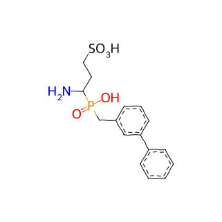 NC(CCS(=O)(=O)O)P(=O)(O)Cc1cccc(-c2ccccc2)c1